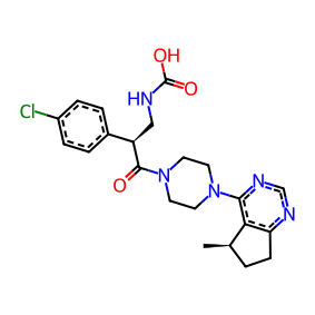 C[C@@H]1CCc2ncnc(N3CCN(C(=O)[C@H](CNC(=O)O)c4ccc(Cl)cc4)CC3)c21